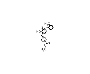 CCOC(=O)N1CCN(Cc2ccn(Cc3ccccc3C)c(=O)c2O)CC1